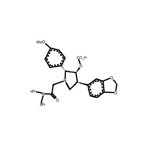 CCCN(CCC)C(=O)CN1C[C@H](c2ccc3c(c2)OCO3)[C@H](OC(=O)O)[C@H]1c1ccc(OC)cc1